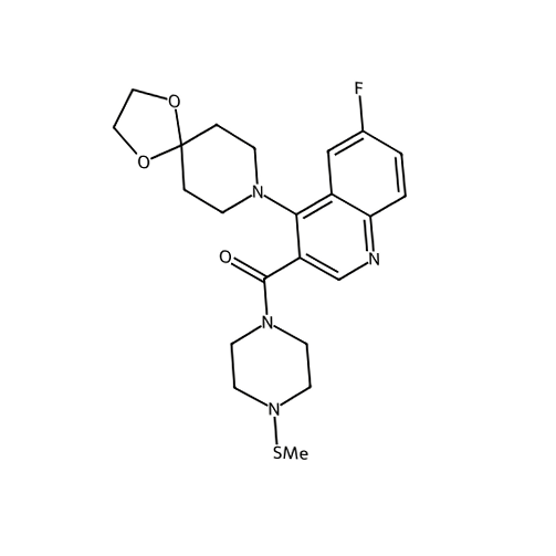 CSN1CCN(C(=O)c2cnc3ccc(F)cc3c2N2CCC3(CC2)OCCO3)CC1